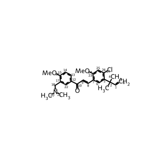 C=CC(C)(C)c1cc(C=CC(=O)c2ccc(OC)c(CN(C)C)c2)c(OC)cc1Cl